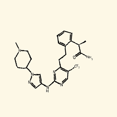 C[C@@H](C(N)=O)c1ccccc1CCc1nc(Nc2cnn(C3CCN(C)CC3)c2)ncc1C(F)(F)F